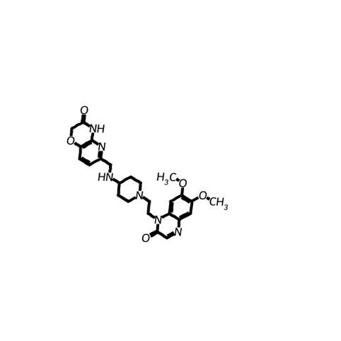 COc1cc2ncc(=O)n(CCN3CCC(NCc4ccc5c(n4)NC(=O)CO5)CC3)c2cc1OC